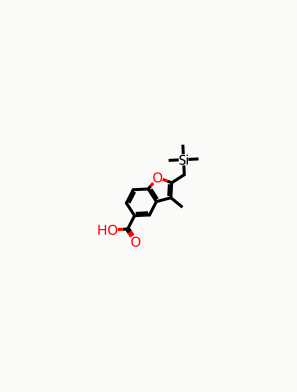 Cc1c(C[Si](C)(C)C)oc2ccc(C(=O)O)cc12